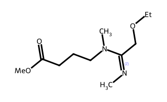 CCOC/C(=N/C)N(C)CCCC(=O)OC